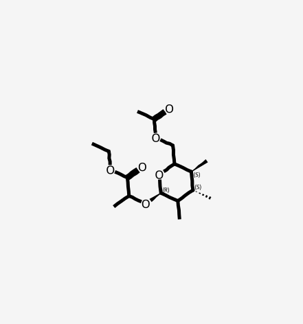 CCOC(=O)C(C)O[C@H]1OC(COC(C)=O)[C@@H](C)[C@H](C)C1C